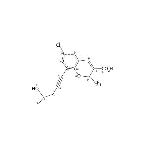 CC(O)CC#Cc1cc(Cl)cc2c1OC(C(F)(F)F)C(C(=O)O)=C2